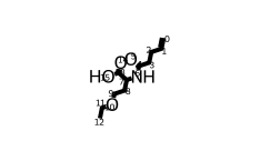 C=CCCC(=O)NC(CCOCC)C(=O)O